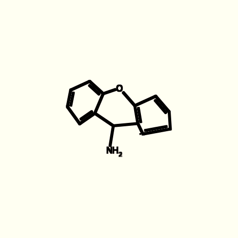 NC1c2[c]cccc2Oc2ccccc21